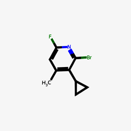 Cc1cc(F)nc(Br)c1C1CC1